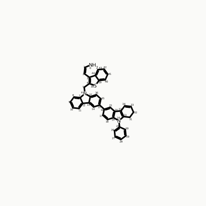 N/C=C\c1c(Cn2c3ccccc3c3cc(-c4ccc5c(c4)c4c(n5-c5ccccc5)CCC=C4)ccc32)sc2ccccc12